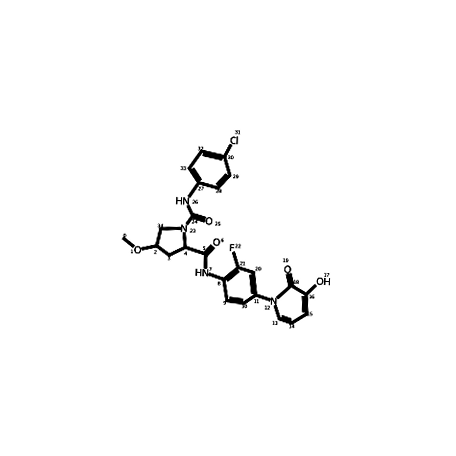 COC1CC(C(=O)Nc2ccc(-n3cccc(O)c3=O)cc2F)N(C(=O)Nc2ccc(Cl)cc2)C1